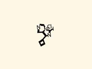 Cl[N+]12C=CN=CC1=C(C1=CC=C1)N=C2I